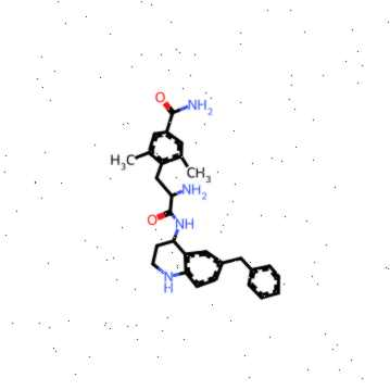 Cc1cc(C(N)=O)cc(C)c1CC(N)C(=O)NC1CCNc2ccc(Cc3ccccc3)cc21